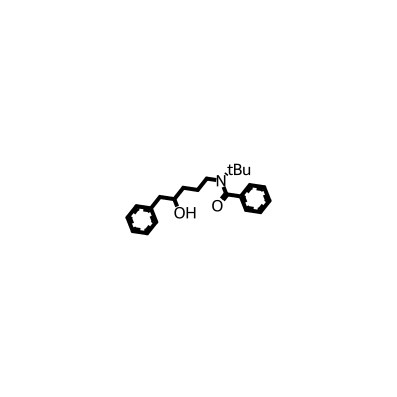 CC(C)(C)N(CCCC(O)Cc1ccccc1)C(=O)c1ccccc1